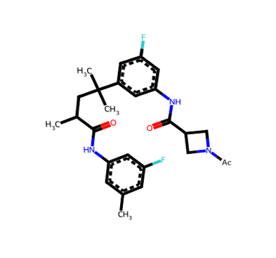 CC(=O)N1CC(C(=O)Nc2cc(F)cc(C(C)(C)CC(C)C(=O)Nc3cc(C)cc(F)c3)c2)C1